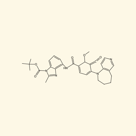 COC1C(=C=O)C(N2CCCCc3cnccc32)=CC=C1C(=O)Nc1cccc2c1nc(C)n2C(=O)OC(C)(C)C